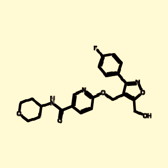 O=C(NC1CCOCC1)c1ccc(OCc2c(-c3ccc(F)cc3)noc2CO)nc1